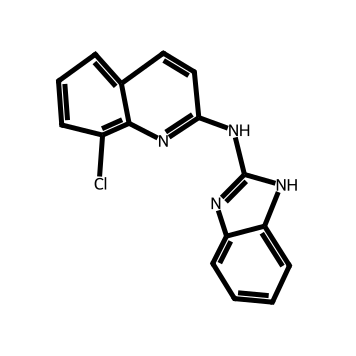 Clc1cccc2ccc(Nc3nc4ccccc4[nH]3)nc12